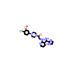 COc1cc(N2CCN(C(=O)CNc3ncccc3C(=N)c3ncc[nH]3)CC2)ccc1Cl